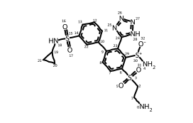 NCCS(=O)(=O)c1ccc(-c2cccc(S(=O)(=O)NC3CC3)c2)c(-c2nnn[nH]2)c1[S+](N)[O-]